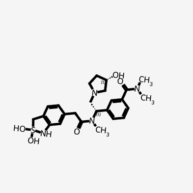 CN(C)C(=O)c1cccc([C@@H](CN2CC[C@H](O)C2)N(C)C(=O)Cc2ccc3c(c2)NS(O)(O)C3)c1